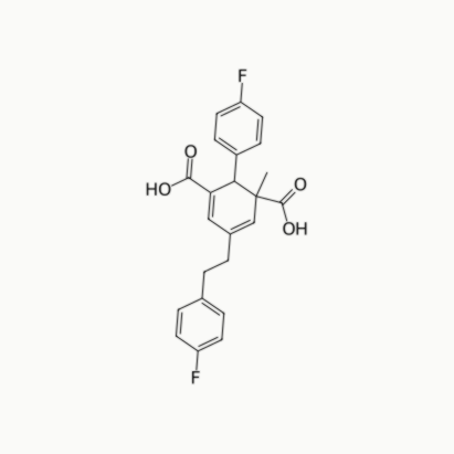 CC1(C(=O)O)C=C(CCc2ccc(F)cc2)C=C(C(=O)O)C1c1ccc(F)cc1